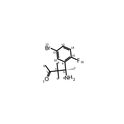 CC(=O)C(C)(C)[C@](C)(N)c1cc(Br)ccc1F